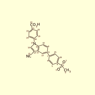 CS(=O)(=O)c1ccc(-c2ccc3c(c2)c(C#N)cn3-c2ccc(C(=O)O)cc2)cc1